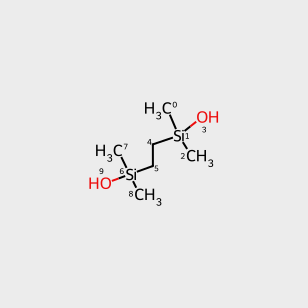 C[Si](C)(O)CC[Si](C)(C)O